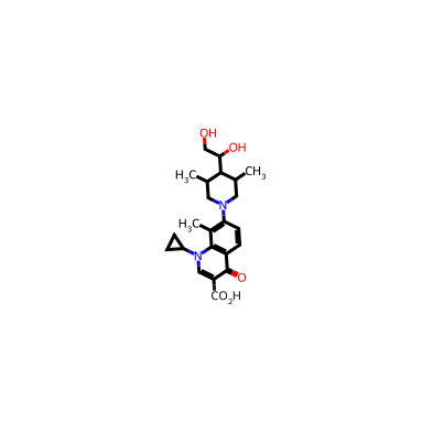 Cc1c(N2CC(C)C(C(O)CO)C(C)C2)ccc2c(=O)c(C(=O)O)cn(C3CC3)c12